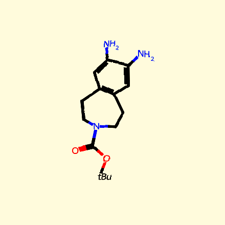 CC(C)(C)OC(=O)N1CCc2cc(N)c(N)cc2CC1